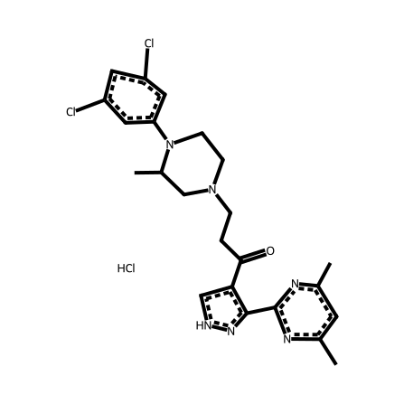 Cc1cc(C)nc(-c2n[nH]cc2C(=O)CCN2CCN(c3cc(Cl)cc(Cl)c3)C(C)C2)n1.Cl